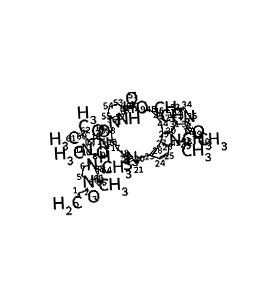 C=CC(=O)N1CCN(C(=O)N(C)[C@H](C(=O)N[C@H]2Cc3nc(cs3)-c3ccc4c(c3)c(c(-c3cccnc3[C@H](C)OC)n4CC)CC(C)(C)COC(=O)[C@@H]3CCCN(N3)C2=O)C(C)C)[C@H](C)[C@@H]1C